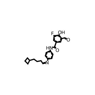 O=Cc1cc(C(=O)Nc2ccc(/N=C\CCCC3CCC3)cc2)cc(F)c1O